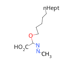 CCCCCCCCCCCCOC(N=NC)C(=O)O